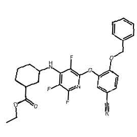 CCOC(=O)C1CCCC(Nc2c(F)c(F)nc(Oc3cc(C#N)ccc3OCc3ccccc3)c2F)C1